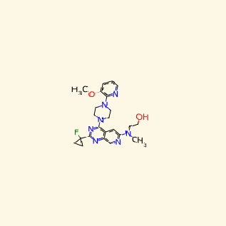 COc1cccnc1N1CCN(c2nc(C3(F)CC3)nc3cnc(N(C)CCO)cc23)CC1